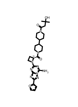 CC(C)(O)CC(=O)N1CCC(C2CCN(C(=O)[C@@H]3CCN3c3nc(N)n4nc(-c5ccco5)nc4n3)CC2)CC1